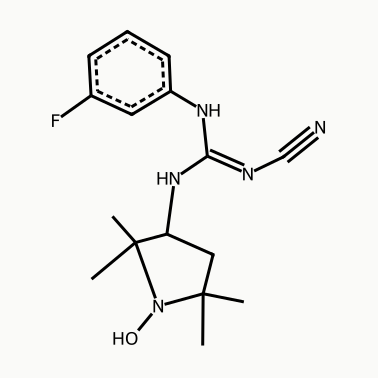 CC1(C)CC(N/C(=N/C#N)Nc2cccc(F)c2)C(C)(C)N1O